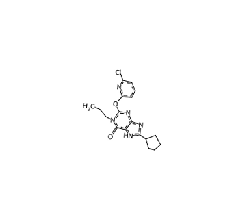 CCCn1c(Oc2cccc(Cl)n2)nc2nc(C3CCCC3)[nH]c2c1=O